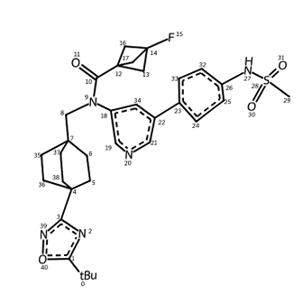 CC(C)(C)c1nc(C23CCC(CN(C(=O)C45CC(F)(C4)C5)c4cncc(-c5ccc(NS(C)(=O)=O)cc5)c4)(CC2)CC3)no1